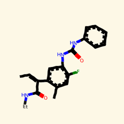 C/C=C(\C(=O)NCC)c1cc(NC(=O)Nc2ccccc2)c(F)cc1C